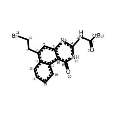 CC(C)(C)C(=O)Nc1nc2cc(CCBr)c3ccccc3c2c(=O)[nH]1